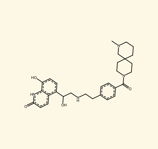 CN1CCCC2(CCN(C(=O)c3ccc(CCNCC(O)c4ccc(O)c5[nH]c(=O)ccc45)cc3)CC2)C1